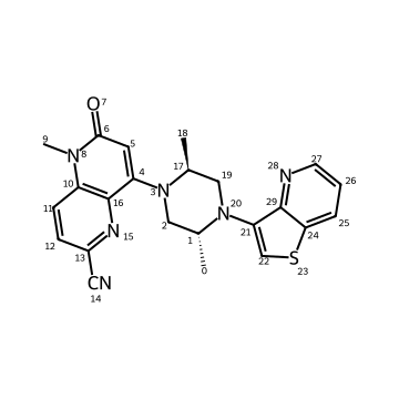 C[C@@H]1CN(c2cc(=O)n(C)c3ccc(C#N)nc23)[C@@H](C)CN1c1csc2cccnc12